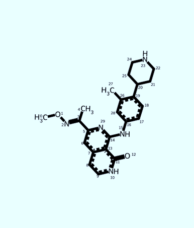 CON=C(C)c1cc2cc[nH]c(=O)c2c(Nc2ccc(C3CCNCC3)c(C)c2)n1